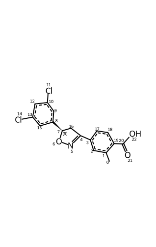 Cc1cc(C2=NO[C@@H](c3cc(Cl)cc(Cl)c3)C2)ccc1C(=O)O